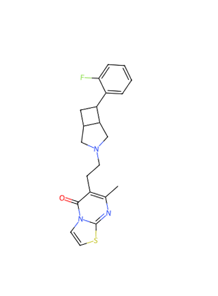 Cc1nc2sccn2c(=O)c1CCN1CC2CC(c3ccccc3F)C2C1